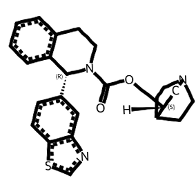 O=C(O[C@@H]1CN2CCC1CC2)N1CCc2ccccc2[C@H]1c1ccc2scnc2c1